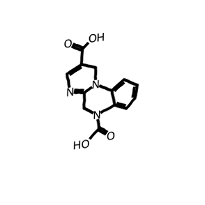 O=C(O)C1=CN=C2CN(C(=O)O)c3ccccc3N2C1